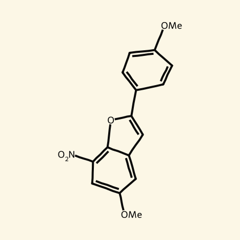 COc1ccc(-c2cc3cc(OC)cc([N+](=O)[O-])c3o2)cc1